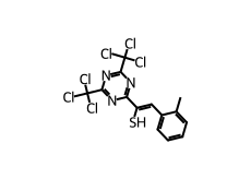 Cc1ccccc1C=C(S)c1nc(C(Cl)(Cl)Cl)nc(C(Cl)(Cl)Cl)n1